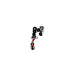 C1=Cc2ccccc2NN=C1.Cc1nnc2n1-c1ccc(Cl)cc1C(c1ccccc1)=NC2.O=C1CC2(CCCC2)CC(=O)N1CCCCN1CCN(c2ncccn2)CC1